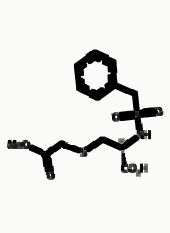 COC(=O)CSC[C@H](NS(=O)(=O)Cc1ccccc1)C(=O)O